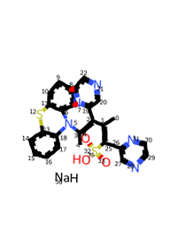 CC(C(=C(C)N1c2ccccc2Sc2ccccc21)c1cnccn1)=C(c1cnccn1)S(=O)(=O)O.[NaH]